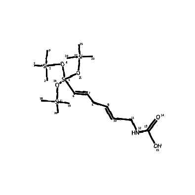 C[Si](C)(C)O[Si](C=CCC=CCNC(=O)O)(O[Si](C)(C)C)O[Si](C)(C)C